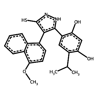 COc1ccc(-c2c(S)n[nH]c2-c2cc(C(C)C)c(O)cc2O)c2ccccc12